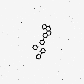 c1ccc(N(c2ccc(-c3ccc4c(ccc5ccc6ccccc6c54)c3)cc2)c2cccc3c2oc2ccccc23)cc1